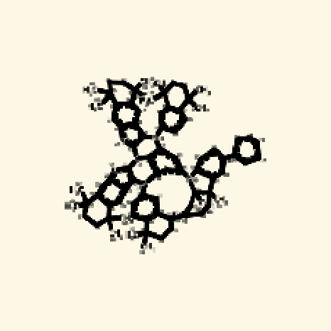 CC1(C)CCC(C)(C)c2cc(N3c4cc5cc6c4B(c4oc7cc8c(cc7c4N6c4ccc6c(c4)C(C)(CCC6(C)C)C4CCC6(C)c7cc(-c9ccccc9)ccc7N5C6(C)C4)C(C)(C)CCC8(C)C)c4sc5cc6c(cc5c43)C(C)(C)CCC6(C)C)ccc21